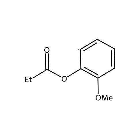 CCC(=O)Oc1[c]cccc1OC